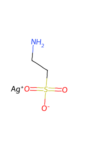 NCCS(=O)(=O)[O-].[Ag+]